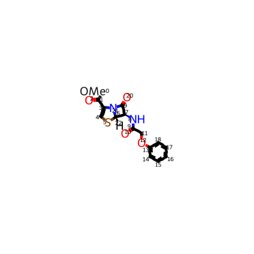 COC(=O)C1=CS[C@H]2[C@H](NC(=O)COc3ccccc3)C(=O)N12